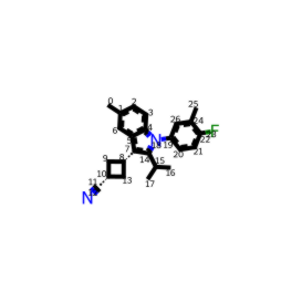 Cc1ccc2c(c1)c([C@H]1C[C@@H](C#N)C1)c(C(C)C)n2-c1ccc(F)c(C)c1